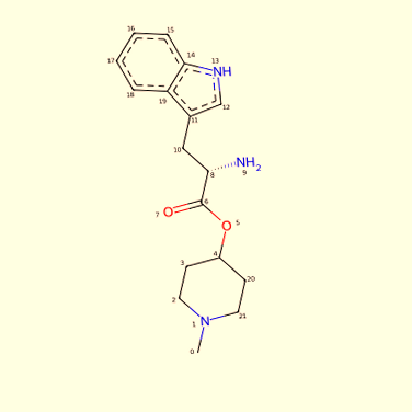 CN1CCC(OC(=O)[C@@H](N)Cc2c[nH]c3ccccc23)CC1